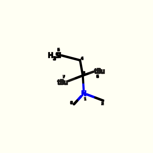 CN(C)C(C[SiH3])(C(C)(C)C)C(C)(C)C